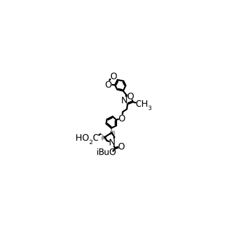 Cc1oc(-c2ccc3c(c2)OCO3)nc1CCOc1cccc([C@@H]2CN(C(=O)OCC(C)C)C[C@@H]2CC(=O)O)c1